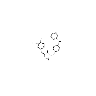 O=C(c1ccccc1)c1ccc(CN2C(=O)SC(=Cc3ccc(O)c(Br)c3)C2=O)cc1